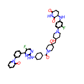 O=C1CCC(Nc2ccc(N3CCC(CC4(O)CCN(C(=O)[C@H]5CC[C@H](Nc6ncc(F)c(-c7cccc(-n8ccccc8=O)c7)n6)CC5)CC4)CC3)c(F)c2)C(=O)N1